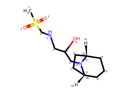 CS(=O)(=O)CNCC(O)CN1[C@@H]2C[CH]C[C@H]1CC2